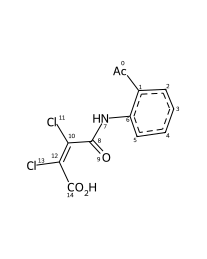 CC(=O)c1ccccc1NC(=O)/C(Cl)=C(/Cl)C(=O)O